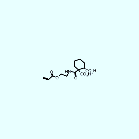 C=CC(=O)OCCNC(=O)C1(C(=O)O)CCCCC1C(=O)O